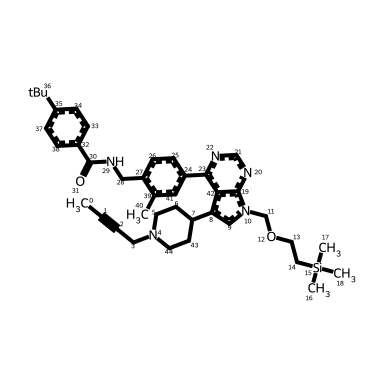 CC#CCN1CCC(c2cn(COCC[Si](C)(C)C)c3ncnc(-c4ccc(CNC(=O)c5ccc(C(C)(C)C)cc5)c(C)c4)c23)CC1